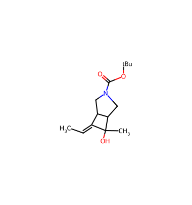 C/C=C1\C2CN(C(=O)OC(C)(C)C)CC2C1(C)O